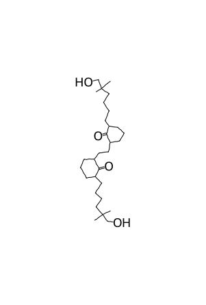 CC(C)(CO)CCCCC1CCCC(CCC2CCCC(CCCCC(C)(C)CO)C2=O)C1=O